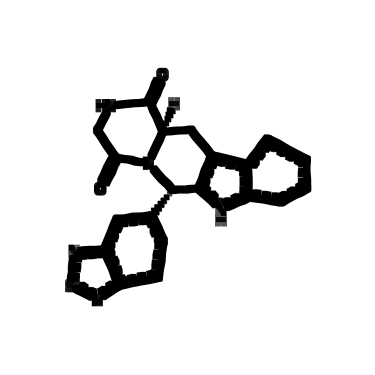 O=C1NCC(=O)N2[C@@H](c3ccc4nsnc4c3)c3[nH]c4ccccc4c3C[C@H]12